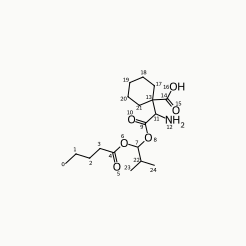 CCCCC(=O)OC(OC(=O)C(N)C1(C(=O)O)CCCCC1)C(C)C